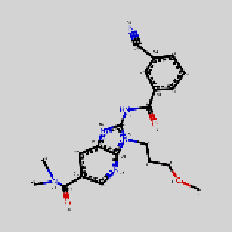 COCCCn1c(NC(=O)c2cccc(C#N)c2)nc2cc(C(=O)N(C)C)cnc21